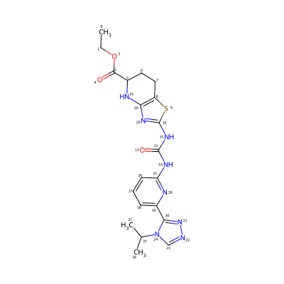 CCOC(=O)C1CCc2sc(NC(=O)Nc3cccc(-c4nncn4C(C)C)n3)nc2N1